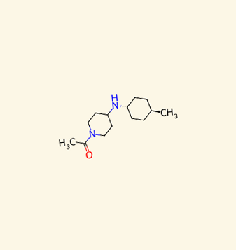 CC(=O)N1CCC(N[C@H]2CC[C@H](C)CC2)CC1